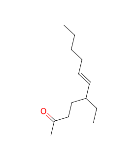 CCCCC=CC(CC)CCC(C)=O